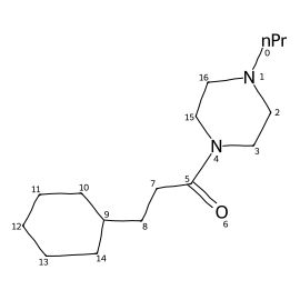 CCCN1CCN(C(=O)CCC2CCCCC2)CC1